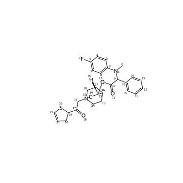 CN(c1ccc(F)cc1)C(C(=O)O[C@H]1C[N+]2(CC(=O)C3CC=CS3)CCC1CC2)c1ccccc1